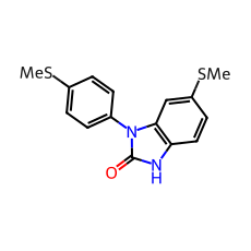 CSc1ccc(-n2c(=O)[nH]c3ccc(SC)cc32)cc1